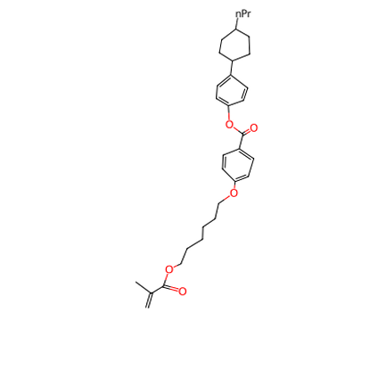 C=C(C)C(=O)OCCCCCCOc1ccc(C(=O)Oc2ccc(C3CCC(CCC)CC3)cc2)cc1